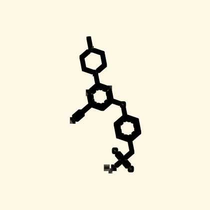 CN1CCN(c2nc(C#N)cc(Oc3ccc(CS(N)(=O)=O)cc3)n2)CC1